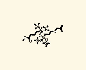 C=C(C)COCCC[Si](O[Si](C)(C)C)(O[Si](C)(C)C)O[Si](CCCC(=O)OC)(O[Si](C)(C)C)O[Si](C)(C)C